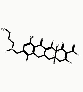 CCCCN(C)Cc1cc(O)c2c(c1F)CC1C[C@H]3CC(O)=C(C(N)=O)C(=O)[C@@]3(O)C(O)=C1C2=O